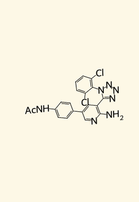 CC(=O)Nc1ccc(-c2cnc(N)c(-c3nnnn3-c3c(Cl)cccc3Cl)c2)cc1